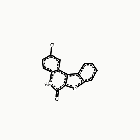 O=c1[nH]c2ccc(Cl)cc2c2c1oc1ccccc12